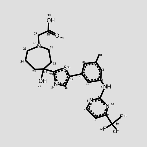 Cc1cc(Nc2nccc(C(F)(F)F)n2)cc(-c2cnc(C3(O)CCCN(CC(=O)O)CC3)s2)c1